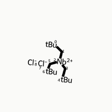 CC(C)(C)[CH2][Nb+2]([CH2]C(C)(C)C)[CH2]C(C)(C)C.[Cl-].[Cl-]